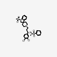 CN(C[C@@H](CCN1CCC2(CC1)CN(S(C)(=O)=O)c1ccccc12)c1ccc(Cl)c(Cl)c1)S(=O)(=O)c1ccccc1